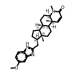 COc1ccc2[nH]c(C[C@H]3CC[C@H]4[C@@H]5CC[C@H]6N(C)C(=O)C=C[C@]6(C)[C@H]5CC[C@]34C)nc2c1